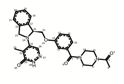 CC(=O)N1CCN(C(=O)c2cccc(OC[C@@H]3c4ccccc4CN3c3cn[nH]c(=O)c3C)c2)CC1